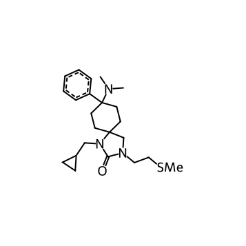 CSCCN1CC2(CCC(c3ccccc3)(N(C)C)CC2)N(CC2CC2)C1=O